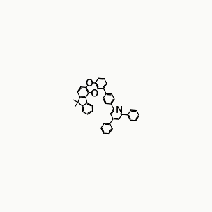 CC1(C)c2ccccc2-c2c1ccc1c2Oc2c(cccc2-c2ccc(-c3cc(-c4ccccc4)cc(-c4ccccc4)n3)cc2)O1